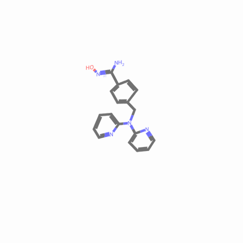 N/C(=N\O)c1ccc(CN(c2ccccn2)c2ccccn2)cc1